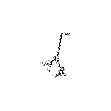 CCCCCCCCCCCCCCCCCCOCCOP(=O)(COCCN1C=NC2C(=O)N=C(N)N=C21)OCC1COC(C)(C)O1